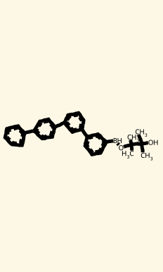 CC(C)(O)C(C)(C)OBc1cccc(-c2cccc(-c3ccc(-c4ccccc4)cc3)c2)c1